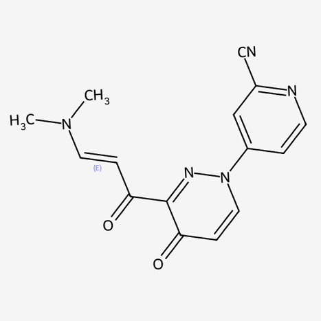 CN(C)/C=C/C(=O)c1nn(-c2ccnc(C#N)c2)ccc1=O